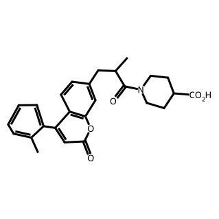 Cc1ccccc1-c1cc(=O)oc2cc(CC(C)C(=O)N3CCC(C(=O)O)CC3)ccc12